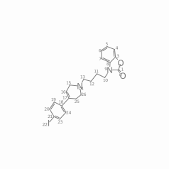 O=c1oc2ccccc2n1CCCCN1CC=C(c2ccc(I)cc2)CC1